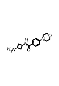 N[C@H]1C[C@@H](NC(=O)c2ccc(N3CCOCC3)cc2)C1